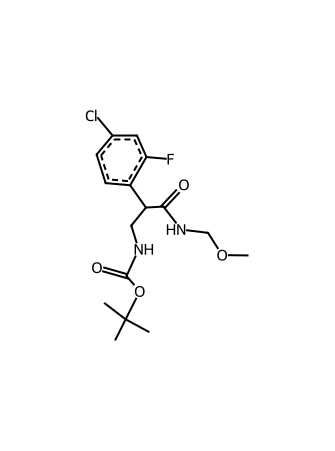 COCNC(=O)C(CNC(=O)OC(C)(C)C)c1ccc(Cl)cc1F